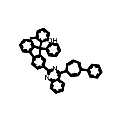 Cc1ccccc1C1(c2ccccc2O)c2ccccc2-c2ccc(-c3nc(C4C=CC=C(c5ccccc5)C=C4)c4ccccc4n3)cc21